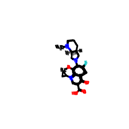 COc1c(N2C[C@@H]3CCCN(C)[C@@H]3C2)c(F)cc2c(=O)c(C(=O)O)cn(C3CC3)c12